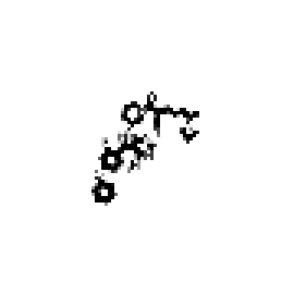 C/C(=C/C/C=C(\C#N)C(=O)N1CCC[C@@H](n2nc(-c3ccc(Oc4ccccc4)cc3F)c3c(N)ncnc32)C1)N1CCC1